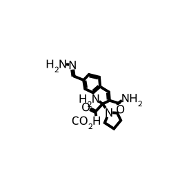 NN=Cc1ccc(C=C(C(N)=O)C(N)(C(=O)C(=O)O)N2CCCC2)cc1